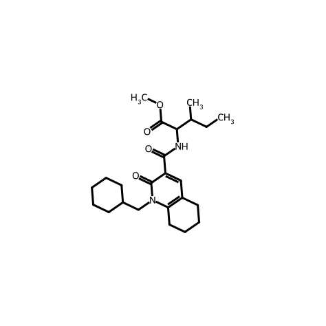 CCC(C)C(NC(=O)c1cc2c(n(CC3CCCCC3)c1=O)CCCC2)C(=O)OC